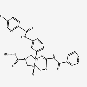 CC(C)(C)OC(=O)N1C[C@H]2CSC(NC(=O)c3ccccc3)=N[C@@]2(c2cccc(NC(=O)c3ccc(F)cn3)c2)C1